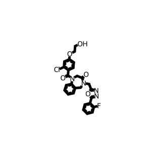 O=C1CN(C(=O)c2ccc(OCCO)cc2Cl)c2ccccc2CN1Cc1nnc(-c2ccccc2F)o1